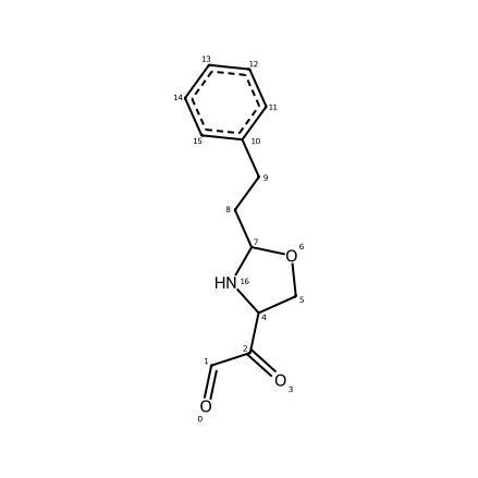 O=CC(=O)C1COC(CCc2ccccc2)N1